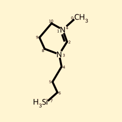 C[N+]1=CN(CCC[SiH3])CCC1